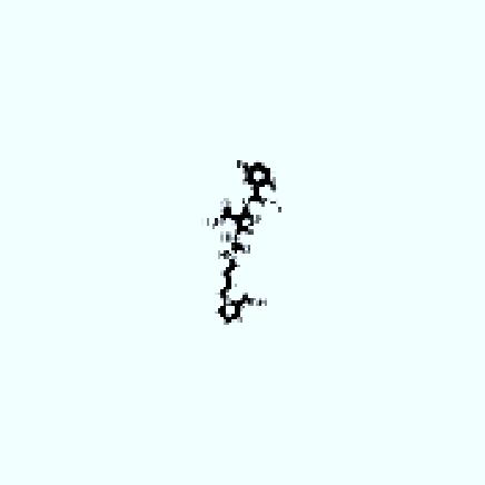 CC(Oc1nsc(NC(=O)NCCCCN2CCCC2CO)c1C(N)=O)c1cc(F)ccc1F